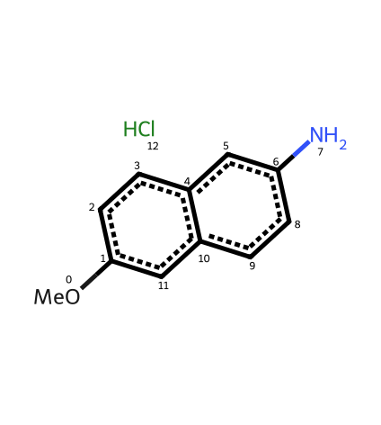 COc1ccc2cc(N)ccc2c1.Cl